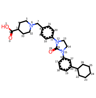 O=C(O)C1CCN(Cc2ccc(N3CCN(c4cccc(C5CCCCC5)c4)C3=O)cc2)CC1